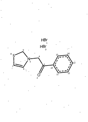 Br.Br.O=C(CN1C=CSC1)c1ccccc1